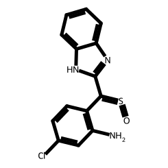 Nc1cc(Cl)ccc1C(=S=O)c1nc2ccccc2[nH]1